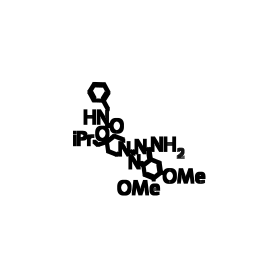 COc1cc2nc(N3CCC(CC(C)C)(OC(=O)NCc4ccccc4)CC3)nc(N)c2cc1OC